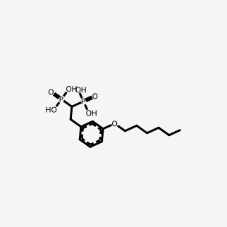 CCCCCCOc1cccc(CC(P(=O)(O)O)P(=O)(O)O)c1